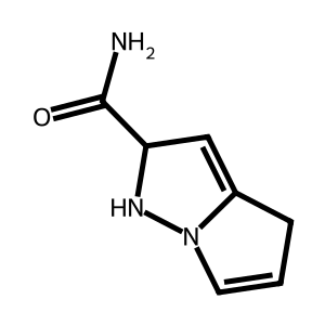 NC(=O)C1C=C2CC=CN2N1